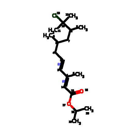 CC(/C=C/CC(C)CC(C)C(C)(C)Cl)=C\C(=O)OC(C)C